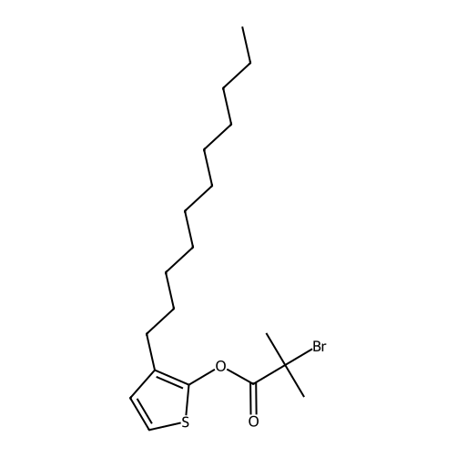 CCCCCCCCCCCc1ccsc1OC(=O)C(C)(C)Br